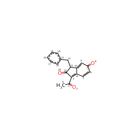 CC(=O)C1=C2C=CC(=O)C=C2C(Cc2ccccc2)C1=O